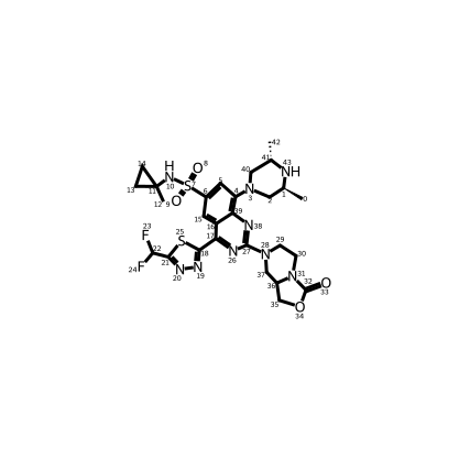 C[C@H]1CN(c2cc(S(=O)(=O)NC3(C)CC3)cc3c(-c4nnc(C(F)F)s4)nc(N4CCN5C(=O)OCC5C4)nc23)C[C@H](C)N1